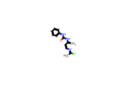 C=C(/C=C\N=C(/C)Cl)NC(=O)Nc1ccccc1